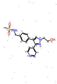 CS(=O)(=O)NCc1ccc(-c2cn(CCO)nc2-c2ccncc2)cc1